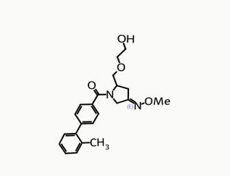 CO/N=C1\CC(COCCO)N(C(=O)c2ccc(-c3ccccc3C)cc2)C1